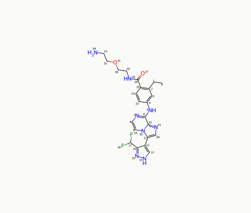 CCc1cc(Nc2nccn3c(-c4c[nH]nc4C(F)F)cnc23)ccc1C(=O)NCCOCCN